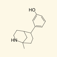 CC12CCC(c3cccc(O)c3)C(CCN1)C2